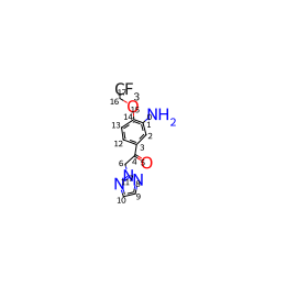 Nc1cc(C(=O)Cn2nccn2)ccc1OCC(F)(F)F